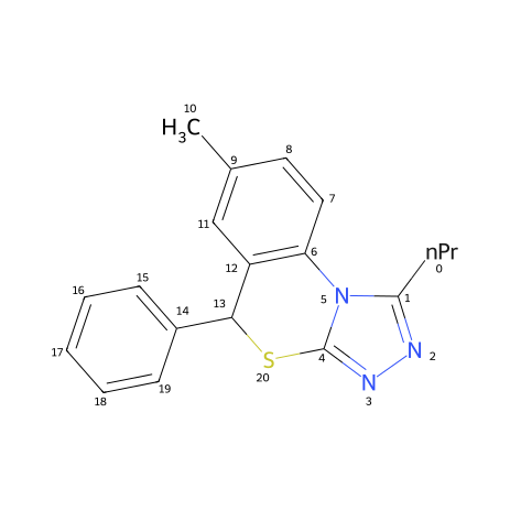 CCCc1nnc2n1-c1ccc(C)cc1C(c1ccccc1)S2